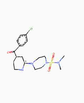 CN(C)S(=O)(=O)N1CCN([C@@H]2CC(C(=O)c3ccc(Cl)cc3)CC[N]2)CC1